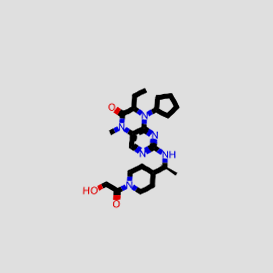 CCC1C(=O)N(C)c2cnc(N[C@@H](C)C3CCN(C(=O)CO)CC3)nc2N1C1CCCC1